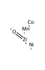 [Co].[Mn].[Ni].[O]=[Zr]